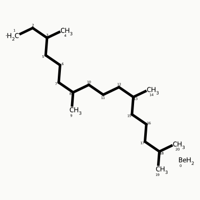 [BeH2].[CH2]CC(C)CCCC(C)CCCC(C)CCCC(C)C